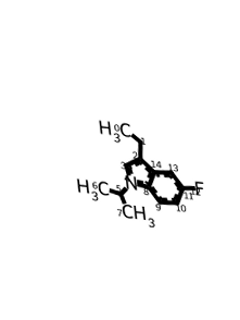 CCc1cn(C(C)C)c2ccc(F)cc12